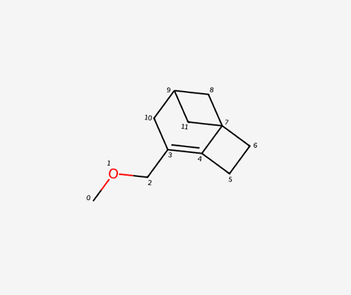 COCC1=C2CCC23CC(C1)C3